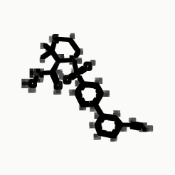 CC1(C)SCCN(S(=O)(=O)c2ccc(-c3cccc(C#N)c3)cc2)[C@H]1C(=O)NO